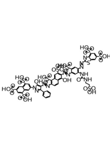 O=C(NCCS(=O)(=O)O)Nc1cc(N=Nc2c(S(=O)(=O)O)cc3c(S(=O)(=O)O)c(N=Nc4c(-c5ccccc5)nn(-c5cc(S(=O)(=O)O)c6cc(S(=O)(=O)O)cc(S(=O)(=O)O)c6c5)c4O)ccc3c2O)c(S(=O)(=O)O)cc1N=Nc1nc2c(S(=O)(=O)O)cc(S(=O)(=O)O)cc2s1